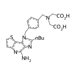 CCCCc1nc2c(N)nc3ccsc3c2n1Cc1ccc(CN(CC(=O)O)CC(=O)O)cc1